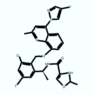 Cc1cc(-n2cc(F)cn2)c2cccc(OCc3c(Cl)cc(F)cc3[C@H](C)NC(=O)C3=COC(C)N3)c2n1